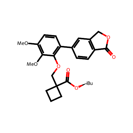 CC[C@H](C)OC(=O)C1(COc2c(-c3ccc4c(c3)COC4=O)ccc(OC)c2OC)CCC1